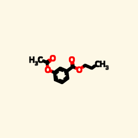 CCCOC(=O)c1cccc(OC(C)=O)c1